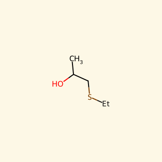 [CH2]CSCC(C)O